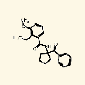 CCc1c(OC)cccc1C(=O)NC1(C(=O)c2ccccc2)CCCC1